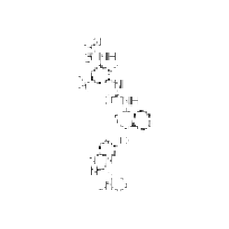 Cc1c(NC(=O)N[C@H]2CC[C@@H](Oc3ccc4nnc([C@@H]5CCCN5C)n4c3)c3ccccc32)cc(C(C)(C)C)cc1NS(C)(=O)=O